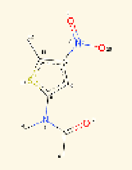 CC(=O)N(C)c1cc([N+](=O)[O-])c(C)s1